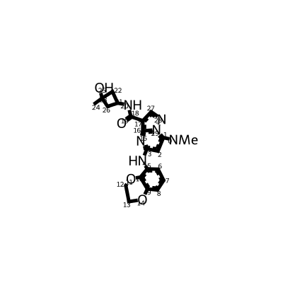 CNc1cc(Nc2cccc3c2OCCO3)nc2c(C(=O)NC3CC(C)(O)C3)cnn12